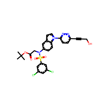 CC(C)(C)OC(=O)CN(c1ccc2c(ccn2-c2ccc(C#CCO)nn2)c1)S(=O)(=O)c1cc(Cl)cc(Cl)c1